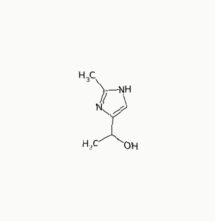 Cc1nc(C(C)O)c[nH]1